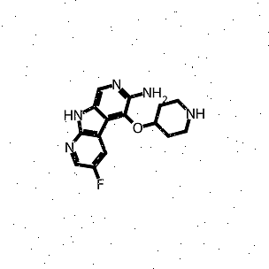 Nc1ncc2[nH]c3ncc(F)cc3c2c1OC1CCNCC1